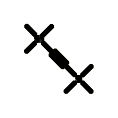 C[Si](C)(C)C#[C][Sn]([CH3])([CH3])[CH3]